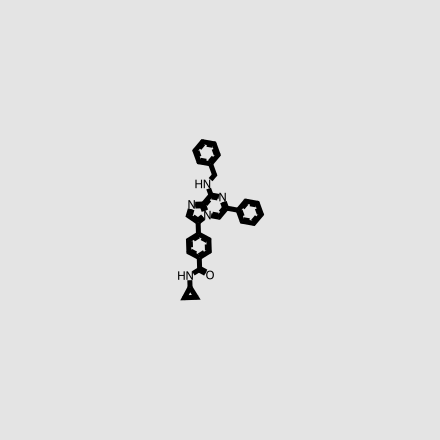 O=C(NC1CC1)c1ccc(-c2cnc3c(NCc4ccccc4)nc(-c4ccccc4)cn23)cc1